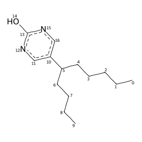 CCCCCC(CCCC)c1cnc(O)nc1